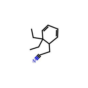 CCC1(CC)C=CC=CC1CC#N